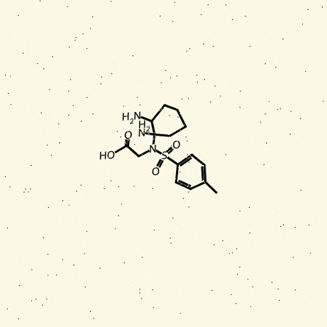 Cc1ccc(S(=O)(=O)N(CC(=O)O)C2(N)CCCCC2N)cc1